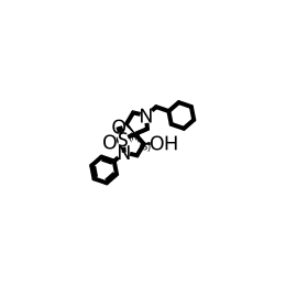 O=S1(=O)N(c2ccccc2)C[C@H](O)[C@]12CCN(CC1CCCCC1)C2